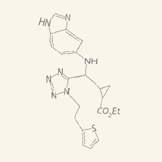 CCOC(=O)C1CC1C(Nc1ccc2[nH]cnc2c1)c1nnnn1CCc1cccs1